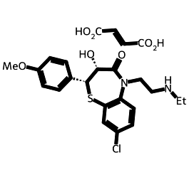 CCNCCN1C(=O)[C@@H](O)[C@@H](c2ccc(OC)cc2)Sc2cc(Cl)ccc21.O=C(O)/C=C/C(=O)O